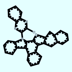 Clc1nc2ccccc2nc1-n1c2ccccc2c2c3ccccc3c3c4cc5ccccc5cc4oc3c21